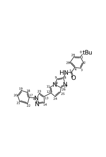 CC(C)(C)c1ccc(C(=O)Nc2cn3cc(-c4cnn(-c5ccccc5)c4)ccc3n2)cc1